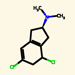 CN(C)[C@@H]1CC2=C(C1)C(Cl)CC(Cl)=C2